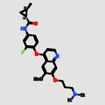 CCN(CC)CCCOc1cc2nccc(Oc3ccc(NC(=O)[C@@H]4C[C@H]4C)cc3F)c2cc1OC